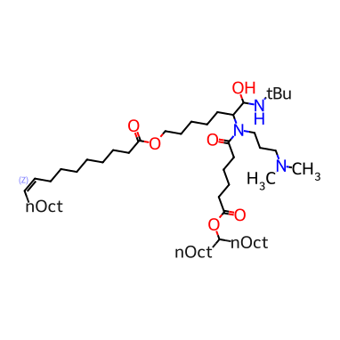 CCCCCCCC/C=C\CCCCCCCC(=O)OCCCCCC(C(O)NC(C)(C)C)N(CCCN(C)C)C(=O)CCCCC(=O)OC(CCCCCCCC)CCCCCCCC